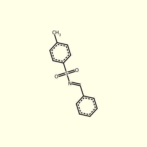 Cc1ccc(S(=O)(=O)/N=C/c2ccccc2)cc1